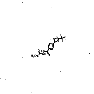 COC(=O)NNC(=O)c1ccc(-c2noc(C(F)(F)F)n2)cc1